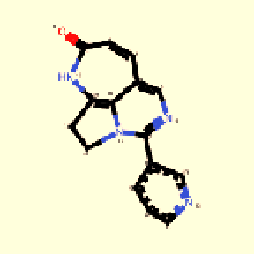 O=C1C=CC2=CN=C(c3cccnc3)N3CCC(=C23)N1